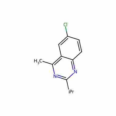 Cc1nc(C(C)C)nc2ccc(Cl)cc12